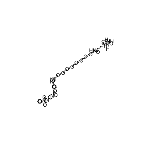 O=C(CCCC[C@@H]1SC[C@@H]2NC(=O)N[C@@H]21)NCCOCCOCCOCCOCCOCCOCCOCCOCCn1cc(-c2ccc(OCC(=O)N3CCC(N4CC(=O)N(c5ccccc5)C4=O)CC3)cc2)nn1